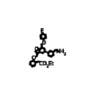 CCOC(=O)Cc1ccccc1OCc1coc2c(COc3ccc(F)cc3)cc(-c3cccc(CN)c3)cc12